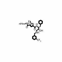 CCCCCCNC(=O)c1cc(C(=O)N[C@@H](Cc2ccccc2)[C@H](O)CNCc2cccc(C(F)(F)F)c2)nn1CC